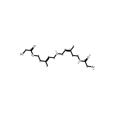 CC(=O)CC(=O)OCCC(C)=CCOCC=C(C)CCOC(=O)CC(C)=O